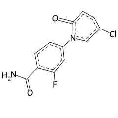 NC(=O)c1ccc(-n2cc(Cl)ccc2=O)cc1F